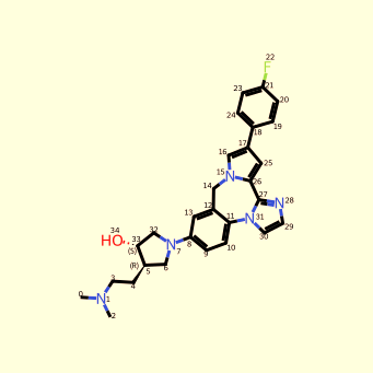 CN(C)CC[C@@H]1CN(c2ccc3c(c2)Cn2cc(-c4ccc(F)cc4)cc2-c2nccn2-3)C[C@H]1O